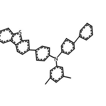 Cc1cc(C)cc(N(c2ccc(-c3ccccc3)cc2)c2ccc(-c3ccc4c(c3)sc3ccccc34)cc2)c1